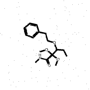 CCC(OCCc1ccccc1)C(OC)(OC)C(=O)NC